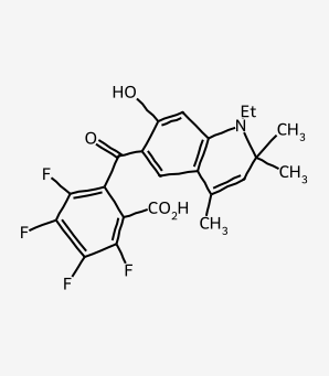 CCN1c2cc(O)c(C(=O)c3c(F)c(F)c(F)c(F)c3C(=O)O)cc2C(C)=CC1(C)C